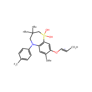 CCCCC1(CCCC)CN(c2ccc(C(F)(F)F)cc2)c2cc(SC)c(O/C=C/C(=O)O)cc2S(O)(O)C1